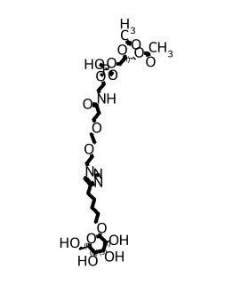 CC(=O)OC[C@H](COP(=O)(O)OCCNC(=O)CCOCCOCCn1cc(CCCCCOC2O[C@H](CO)[C@H](O)[C@H](O)[C@H]2O)nn1)OC(C)=O